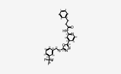 O=C(CCc1ccccc1)Nc1cc(-c2nnc(SCc3cccc(C(F)(F)F)c3)o2)ccn1